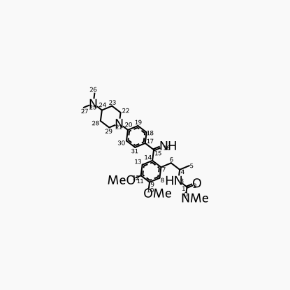 CNC(=O)NC(C)Cc1cc(OC)c(OC)cc1C(=N)c1ccc(N2CCC(N(C)C)CC2)cc1